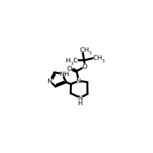 CC(C)(C)OC(=O)N1CCNCC1c1cnc[nH]1